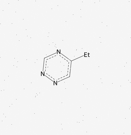 [CH2]Cc1cnncn1